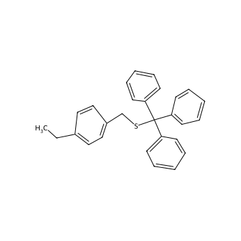 CCc1ccc(CSC(c2ccccc2)(c2ccccc2)c2ccccc2)cc1